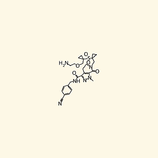 Cn1nc(C(=O)NCc2ccc(C#N)cc2)c2c1C(=O)N(CC1(S(=O)(=O)C3(COCCN)CC3)CC1)CC2